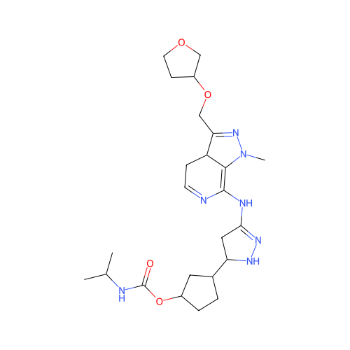 CC(C)NC(=O)OC1CCC(C2CC(NC3=C4C(CC=N3)C(COC3CCOC3)=NN4C)=NN2)C1